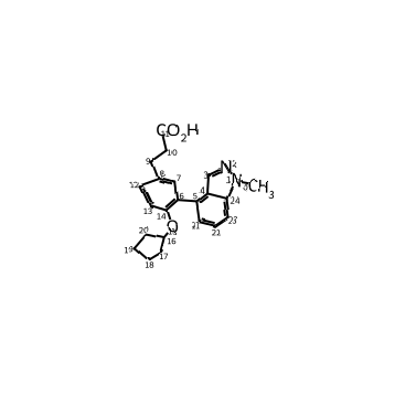 Cn1ncc2c(-c3cc(CCC(=O)O)ccc3OC3CCCC3)cccc21